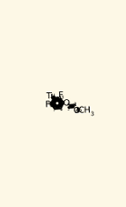 COCCOc1ccc(F)[c]([Ti])c1F